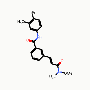 CON(C)C(=O)C=Cc1cccc(C(=O)Nc2ccc(C(C)C)c(C)c2)c1